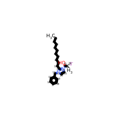 CCCCCCCCCCCc1n(Cc2ccccc2)cc[n+]1C(C)O.[I-]